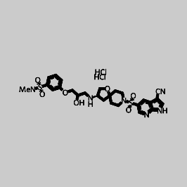 CNS(=O)(=O)c1cccc(OCC(O)CN[C@H]2COC3(CCN(S(=O)(=O)c4cnc5[nH]cc(C#N)c5c4)CC3)C2)c1.Cl.Cl